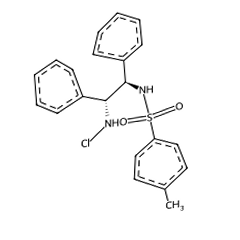 Cc1ccc(S(=O)(=O)N[C@H](c2ccccc2)[C@H](NCl)c2ccccc2)cc1